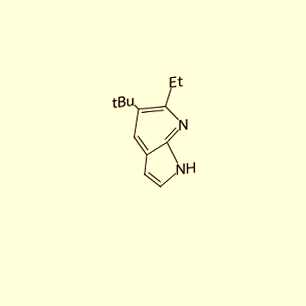 CCc1nc2[nH]ccc2cc1C(C)(C)C